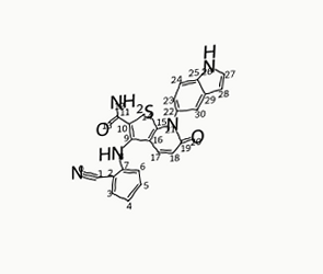 N#Cc1ccccc1Nc1c(C(N)=O)sc2c1ccc(=O)n2-c1ccc2[nH]ccc2c1